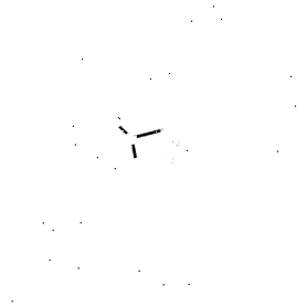 N.N.[H+].[O-]P(O)O